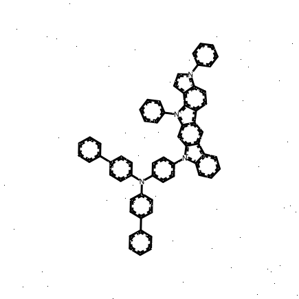 c1ccc(-c2ccc(N(c3ccc(-c4ccccc4)cc3)c3ccc(-n4c5ccccc5c5cc6c7ccc8c(ccn8-c8ccccc8)c7n(-c7ccccc7)c6cc54)cc3)cc2)cc1